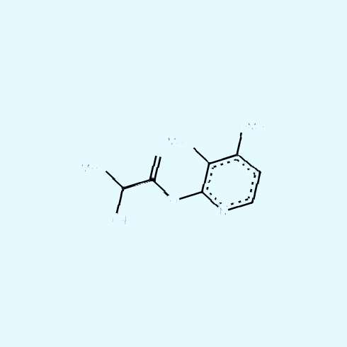 COc1ccnc(OC(=O)C(C)SC)c1OC